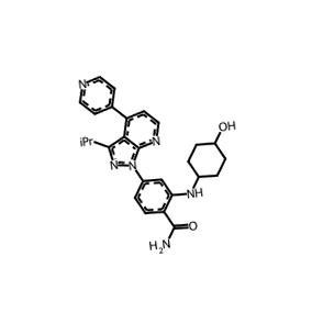 CC(C)c1nn(-c2ccc(C(N)=O)c(NC3CCC(O)CC3)c2)c2nccc(-c3ccncc3)c12